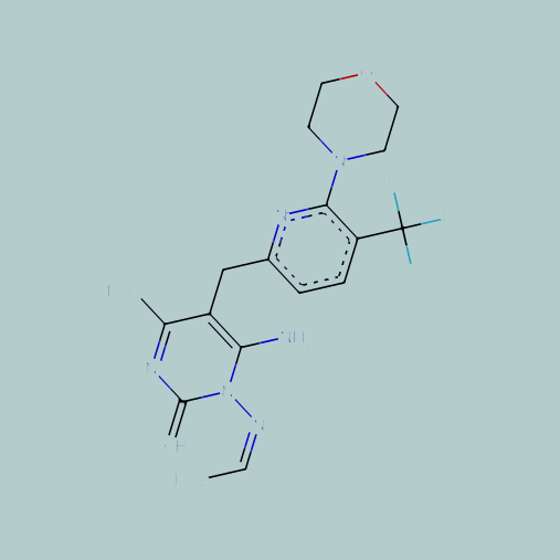 C=C1N=C(C)C(Cc2ccc(C(F)(F)F)c(N3CCOCC3)n2)=C(N)N1/N=C\C